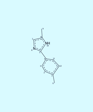 Cc1ccc(-c2n[c]c(C)[nH]2)cc1